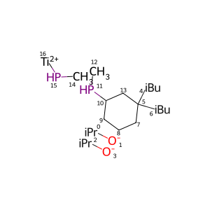 CC(C)[O-].CC(C)[O-].CCC(C)C1(C(C)CC)CCCC(PC)C1.C[PH][Ti+2]